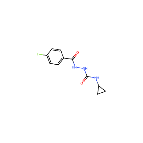 O=C(NNC(=O)c1ccc(F)cc1)NC1CC1